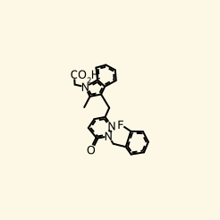 Cc1c(Cc2ccc(=O)n(Cc3ccccc3F)n2)c2ccccc2n1CC(=O)O